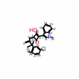 C=C(/C=C1\C(=O)C(c2cn(C)c3ccccc23)=C1O)C(C)(C)c1cc(Cl)ccc1C